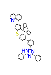 C1=CCCC(C2=NC(C3=CCCC=C3)=NC(c3cccc(-c4ccc5c(c4)C4(c6cc(-c7cccc8cccnc78)ccc6S5)c5ccccc5-c5ccccc54)c3)N2)=C1